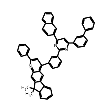 CC1(C)c2ccccc2-c2cc3c(-c4cccc(-c5nc(-c6cccc(-c7ccccc7)c6)cc(-c6ccc7ccccc7c6)n5)c4)cc(-c4ccccc4)nc3cc21